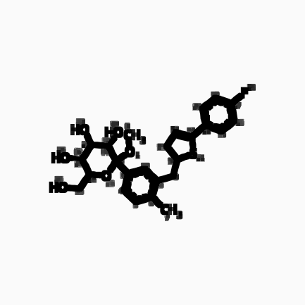 COC1(c2ccc(C)c(CC3CC=C(c4ccc(F)cc4)S3)c2)OC(CO)[C@@H](O)C(O)[C@H]1O